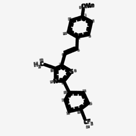 COc1ccc(/C=C/c2sc(-c3ccc(C(F)(F)F)cc3)nc2C)cc1